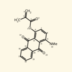 C=C(C)C(=O)Oc1ccc(NC)c2c1C(=O)c1ccccc1C2=O